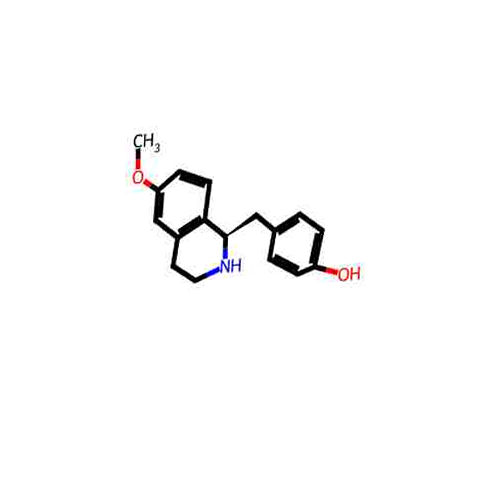 COc1ccc2c(c1)CCN[C@@H]2Cc1ccc(O)cc1